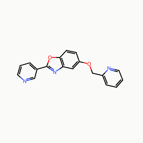 c1ccc(COc2ccc3oc(-c4cccnc4)nc3c2)nc1